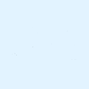 O=C(O)c1sccc1C=Cc1cccc([N+](=O)[O-])c1